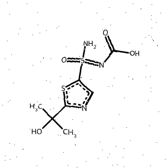 CC(C)(O)c1ncc(S(N)(=O)=NC(=O)O)s1